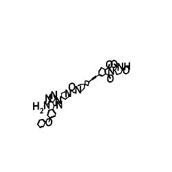 Nc1ncnc2c1c(-c1ccc(Oc3ccccc3)cc1)nn2C1CCN(C(=O)CN2CCC3(CC2)CC(C#Cc2ccc4c(c2)C(=O)N(C2CCC(=O)NC2=O)C4=O)C3)CC1